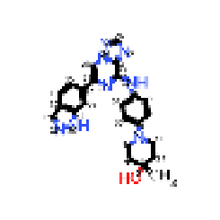 CC1(O)CCN(c2ccc(Nc3nc(-c4ccc5cn[nH]c5c4)cn4ncnc34)cc2)CC1